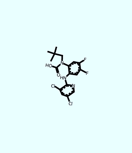 CC(C)(C)CN(C(=O)O)c1cc(F)c(F)cc1Nc1ncc(Cl)cc1Cl